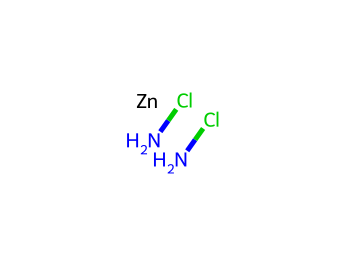 NCl.NCl.[Zn]